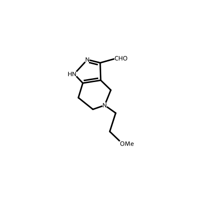 COCCN1CCc2[nH]nc(C=O)c2C1